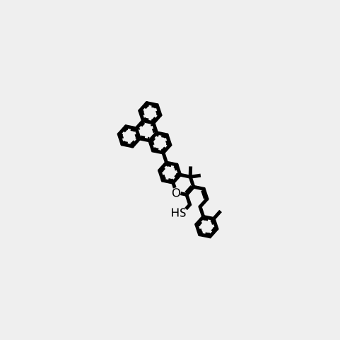 Cc1ccccc1C/C=C\C1=C(CS)Oc2ccc(-c3ccc4c5ccccc5c5ccccc5c4c3)cc2C1(C)C